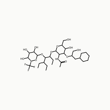 CCC(CC)C(OC1ON(C(F)(F)F)C(O)C(O)C1O)C(CC)OC1OC(CO)C(O)C(OC(CO)CC2CCCCC2)C1NC(C)=O